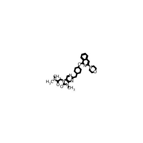 CN(C)C(=O)Cn1c(=O)n(C)c2nc(CC3CCC(Oc4nc(N5CCOCC5)cc5ccccc45)CC3)ncc21